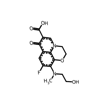 CN(CCO)c1c(F)cc2c(=O)c(C(=O)O)cn3c2c1OCC3